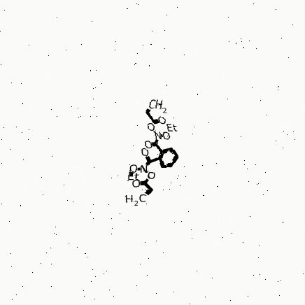 C=CC(=O)ON(OCC)C(=O)c1ccccc1C(=O)N(OCC)OC(=O)C=C